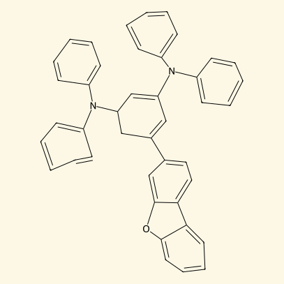 C1=C(c2ccc3c(c2)oc2ccccc23)CC(N(c2ccccc2)c2ccccc2)C=C1N(c1ccccc1)c1ccccc1